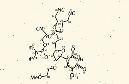 [C-]#[N+]CCOP(O[C@H]1[C@@H](OCCOC)[C@H](n2cc(C)c(=O)[nH]c2=O)O[C@@H]1CSP(=O)(OCC[N+]#[C-])OCC[N+]#[C-])N(C(C)C)C(C)C